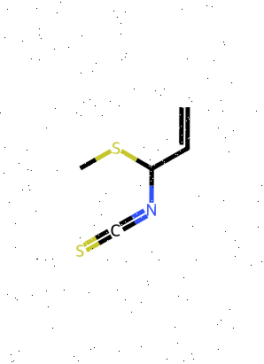 C=CC(N=C=S)SC